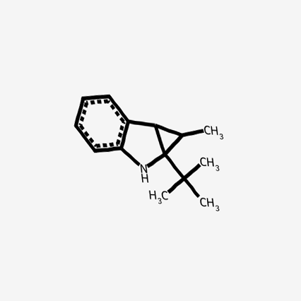 CC1C2c3ccccc3NC12C(C)(C)C